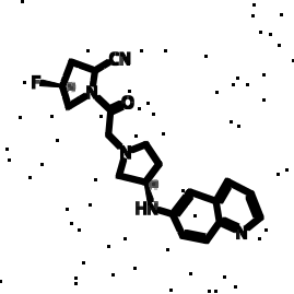 N#CC1C[C@H](F)CN1C(=O)CN1CC[C@@H](Nc2ccc3ncccc3c2)C1